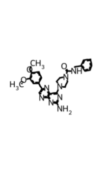 COc1ccc(-c2cnc3nc(N)nc(N4CCN(C(=O)NCc5ccccc5)CC4)c3n2)cc1OC